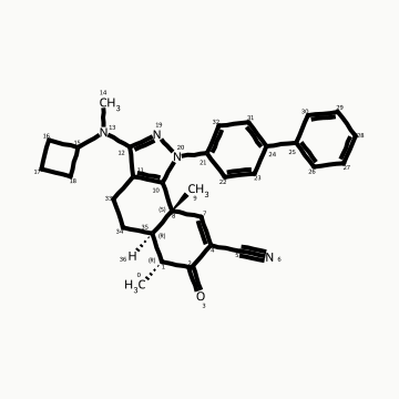 C[C@H]1C(=O)C(C#N)=C[C@@]2(C)c3c(c(N(C)C4CCC4)nn3-c3ccc(-c4ccccc4)cc3)CC[C@H]12